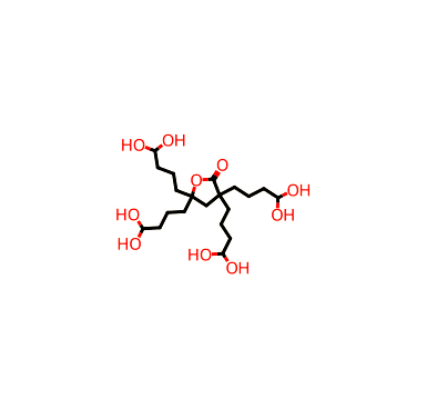 O=C1OC(CCCC(O)O)(CCCC(O)O)CC1(CCCC(O)O)CCCC(O)O